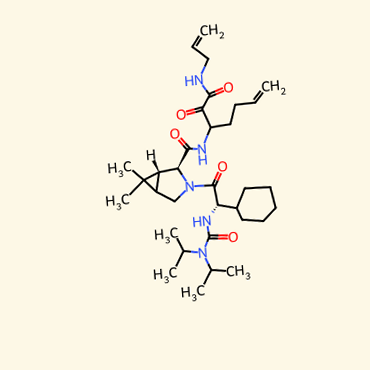 C=CCCC(NC(=O)[C@@H]1[C@@H]2C(CN1C(=O)[C@@H](NC(=O)N(C(C)C)C(C)C)C1CCCCC1)C2(C)C)C(=O)C(=O)NCC=C